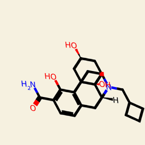 NC(=O)c1ccc2c(c1O)C13CCN(CC4CCC4)[C@H](C2)[C@]1(O)CC[C@H](O)C3